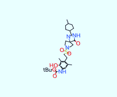 Cc1cc(NC(=O)OC(C)(C)C)c(O)c(C)c1CCS(=O)(=O)N1CCC2(CC1)N=C(C1CCC(C)CC1)NC2=O